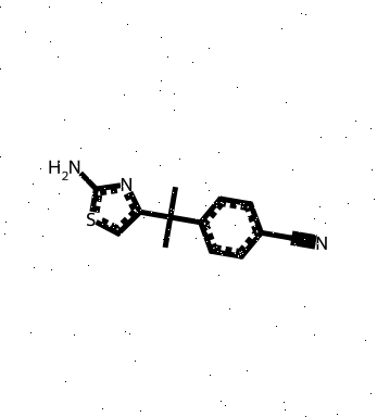 CC(C)(c1ccc(C#N)cc1)c1csc(N)n1